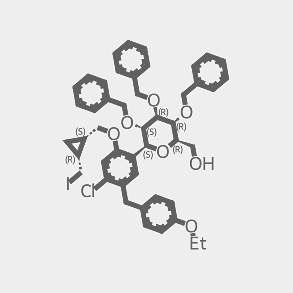 CCOc1ccc(Cc2cc([C@@H]3O[C@H](CO)[C@@H](OCc4ccccc4)[C@H](OCc4ccccc4)[C@H]3OCc3ccccc3)c(OC[C@H]3C[C@H]3CI)cc2Cl)cc1